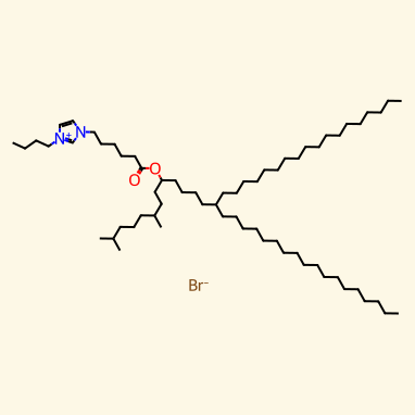 CCCCCCCCCCCCCCCCCCC(CCCCCCCCCCCCCCCCCC)CCCCC(CCC(C)CCCC(C)C)OC(=O)CCCCCn1cc[n+](CCCC)c1.[Br-]